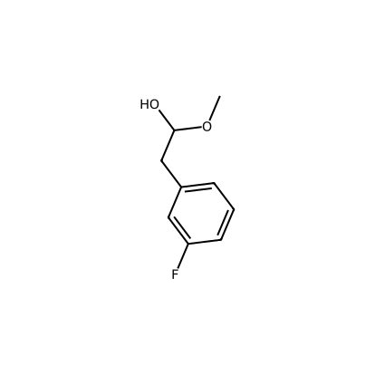 COC(O)Cc1cccc(F)c1